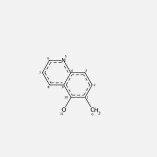 Cc1ccc2ncccc2c1[O]